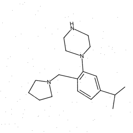 CC(C)c1ccc(CN2CCCC2)c(N2CCNCC2)c1